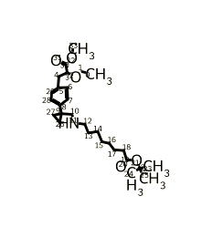 CCOC(Cc1ccc(C2(CNCCCCCCCC(=O)OC(C)(C)C)CC2)cc1)C(=O)OC